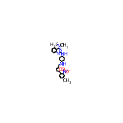 Cc1ccc(C2CC=C(CN[C@H]3CC[C@@H](Nc4nc(N(C)C)c5ccccc5n4)CC3)O2)c([N+](=O)[O-])c1